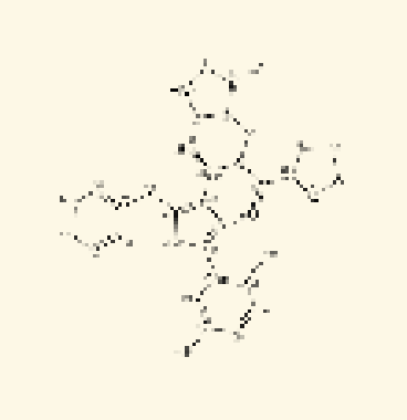 C[C@H]1CNCC1CN(C(=O)C1CCCO1)[C@@H](c1nc(-c2cc(F)ccc2F)sc1Cc1ccccc1)C(C)(C)C